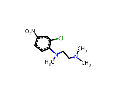 CN(C)CCN(C)c1ccc([N+](=O)[O-])cc1Cl